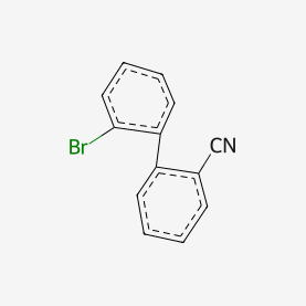 N#Cc1ccccc1-c1ccccc1Br